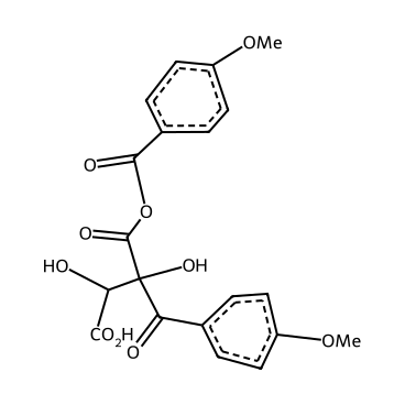 COc1ccc(C(=O)OC(=O)C(O)(C(=O)c2ccc(OC)cc2)C(O)C(=O)O)cc1